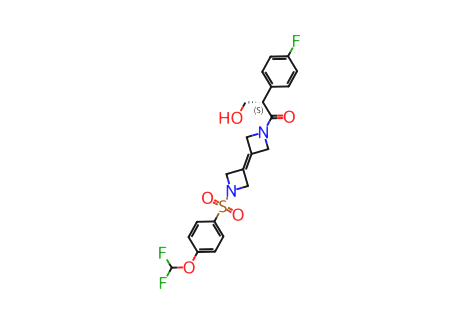 O=C([C@H](CO)c1ccc(F)cc1)N1CC(=C2CN(S(=O)(=O)c3ccc(OC(F)F)cc3)C2)C1